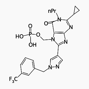 CCCn1c(C2CC2)nc2nc(-c3cnn(Cc4cccc(C(F)(F)F)c4)c3)n(COP(=O)(O)O)c2c1=O